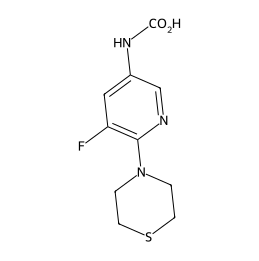 O=C(O)Nc1cnc(N2CCSCC2)c(F)c1